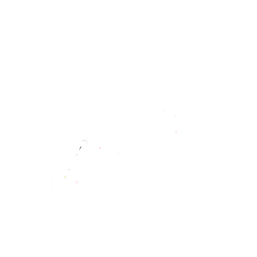 O=C(Oc1ccc(C(=O)OC2CO[C@]3(S)CCO[C@H]23)cc1)c1ccccc1